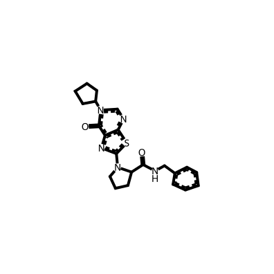 O=C(NCc1ccccc1)C1CCCN1c1nc2c(=O)n(C3CCCC3)cnc2s1